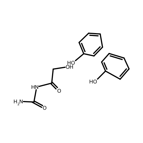 NC(=O)NC(=O)CO.Oc1ccccc1.Oc1ccccc1